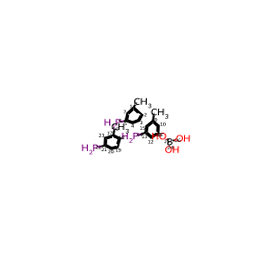 Cc1cccc(P)c1.Cc1cccc(P)c1.Cc1cccc(P)c1.OB(O)O